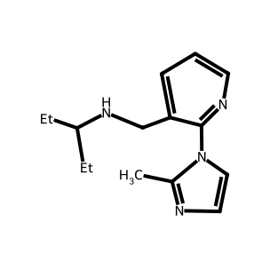 CCC(CC)NCc1cccnc1-n1ccnc1C